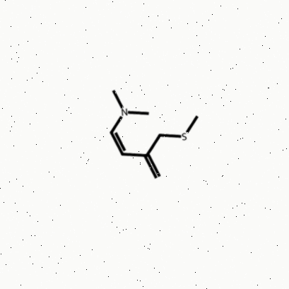 C=C(/C=C\N(C)C)CSC